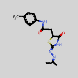 CC(C)=N/N=C1\NC(=O)C(CC(=O)Nc2ccc(C(F)(F)F)cc2)S1